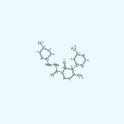 Cc1ccc(C(=O)NNc2ccc(Cl)cc2)c(=O)n1-c1cccc(C(F)(F)F)c1